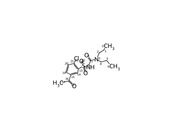 CCCN(CCC)C(=O)NS(=O)(=O)c1cc(C(C)=O)ccc1Cl